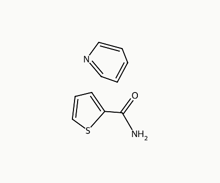 NC(=O)c1cccs1.c1ccncc1